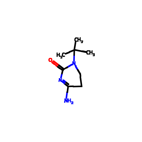 CC(C)(C)N1CCC(N)=NC1=O